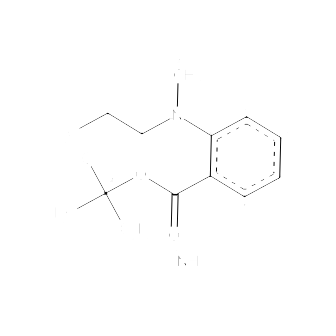 CCCN(C)c1ccccc1C(=O)OC(C)(C)C.N